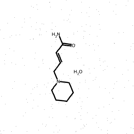 NC(=O)C=CCN1CCCCC1.O